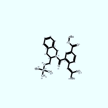 CCCCOC(=O)c1ccc(C=C(CCCC)[N+](=O)[O-])c(C(=O)N2Cc3ccccc3CC2CO[Si](C)(C)C(C)(C)C)c1